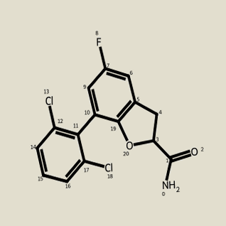 NC(=O)C1Cc2cc(F)cc(-c3c(Cl)cccc3Cl)c2O1